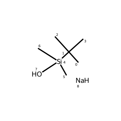 CC(C)(C)[Si](C)(C)O.[NaH]